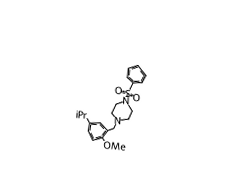 COc1ccc(C(C)C)cc1CN1CCN(S(=O)(=O)c2ccccc2)CC1